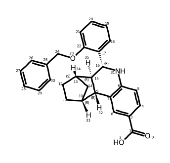 O=C(O)c1ccc2c(c1)[C@@H]1[C@@H]3CC[C@@H](C3)[C@H]1[C@H](c1ccccc1OCc1ccccc1)N2